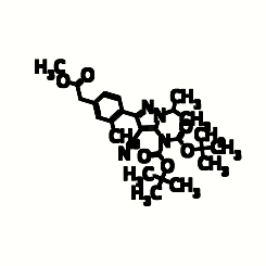 COC(=O)Cc1ccc(-c2nn(C(C)C)c(N(C(=O)OC(C)(C)C)C(=O)OC(C)(C)C)c2C#N)c(C)c1